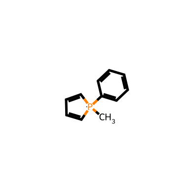 C[P]1(c2ccccc2)C=CC=C1